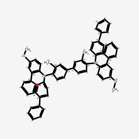 COc1ccc(N(c2ccc(-c3ccccc3)cc2)c2ccc(-c3ccc(N(c4ccc(-c5ccccc5)cc4)c4ccc(OC)cc4-c4ccccc4)c(C)c3)cc2C)c(-c2ccccc2)c1